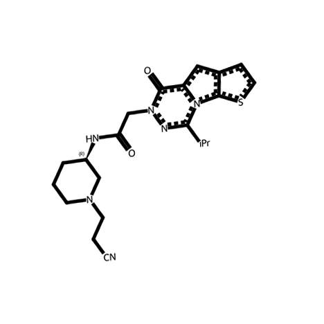 CC(C)c1nn(CC(=O)N[C@@H]2CCCN(CCC#N)C2)c(=O)c2cc3ccsc3n12